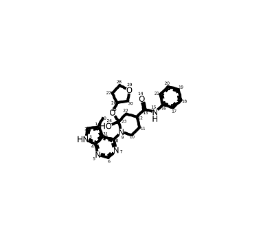 Cc1c[nH]c2ncnc(N3CCC(C(=O)Nc4ccccc4)CC3(O)OC3CCOC3)c12